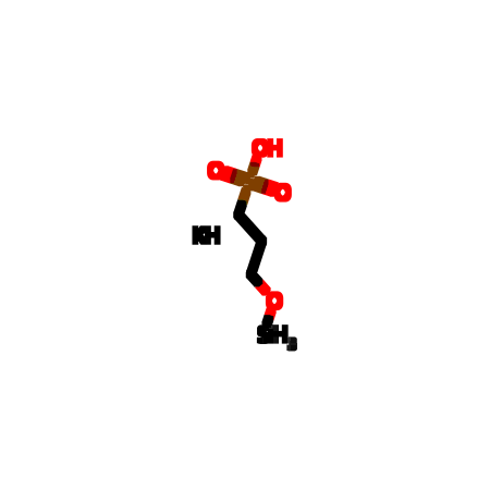 O=S(=O)(O)CCCO[SiH3].[KH]